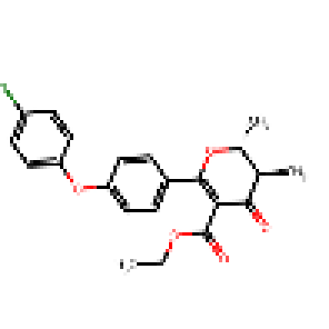 CCOC(=O)C1=C(c2ccc(Oc3ccc(Cl)cc3)cc2)O[C@H](C)[C@@H](C)C1=O